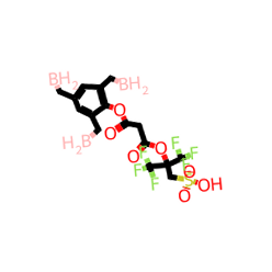 BCc1cc(CB)c(OC(=O)CC(=O)OC(CS(=O)(=O)O)(C(F)(F)F)C(F)(F)F)c(CB)c1